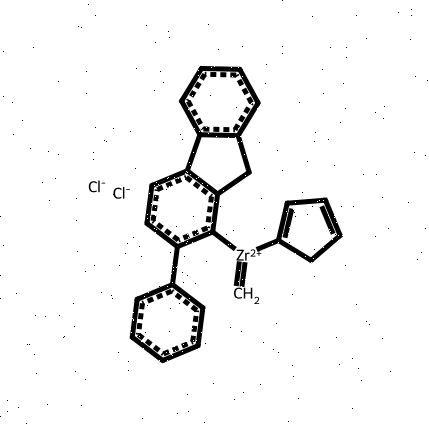 [CH2]=[Zr+2]([C]1=CC=CC1)[c]1c(-c2ccccc2)ccc2c1Cc1ccccc1-2.[Cl-].[Cl-]